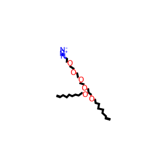 C=CCCCCCCCOCC(COCCOCCOCCOCCN=[N+]=[N-])OCCCCCCCC=C